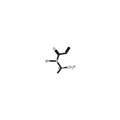 C=CC(=O)N(C(C)C)[C@H](C)C(=O)O